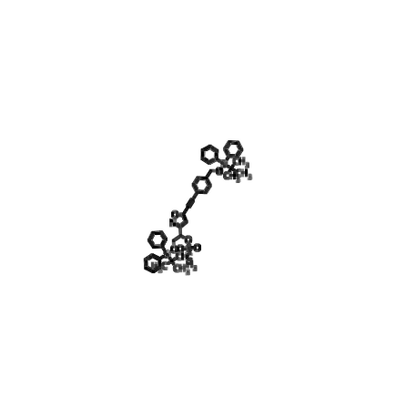 CC(C)(C)[Si](OCc1ccc(C#Cc2cc(C(CO[Si](c3ccccc3)(c3ccccc3)C(C)(C)C)OS(C)(=O)=O)no2)cc1)(c1ccccc1)c1ccccc1